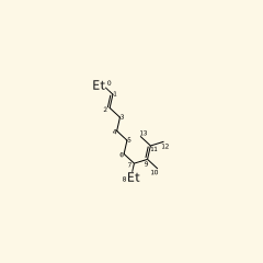 CCC=CCCCCC(CC)C(C)=C(C)C